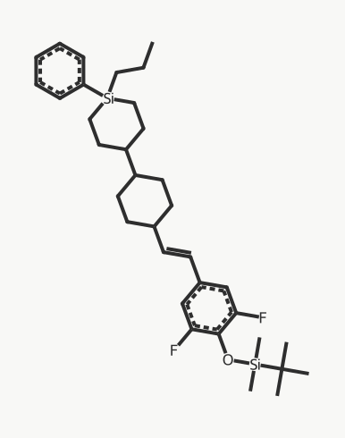 CCC[Si]1(c2ccccc2)CCC(C2CCC(/C=C/c3cc(F)c(O[Si](C)(C)C(C)(C)C)c(F)c3)CC2)CC1